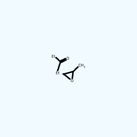 CC1CO1.CCC(=O)CC